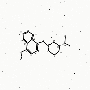 CCc1ccc(CN2CCC[C@@H](C(C)C)C2)c2ccccc12